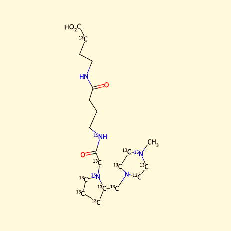 C[15N]1[13CH2][13CH2]N([13CH2][13CH]2[13CH2][13CH2][13CH2][15N]2[13CH2]C(=O)[15NH]CCCC(=O)NCC[13CH2]C(=O)O)[13CH2][13CH2]1